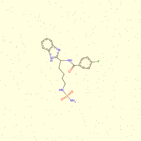 NS(=O)(=O)NCCCCC(NC(=O)c1ccc(F)cc1)c1nc2ccccc2[nH]1